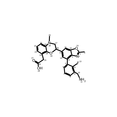 Cc1nc2c(-c3cccc(CN)c3F)cc(C3CN(C)c4cccc(CC(=O)O)c4O3)cc2o1